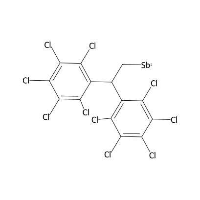 Clc1c(Cl)c(Cl)c(C([CH2][Sb])c2c(Cl)c(Cl)c(Cl)c(Cl)c2Cl)c(Cl)c1Cl